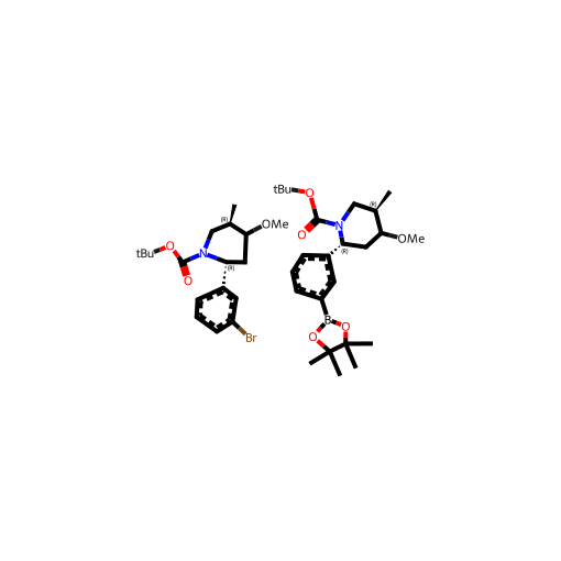 COC1C[C@H](c2cccc(B3OC(C)(C)C(C)(C)O3)c2)N(C(=O)OC(C)(C)C)C[C@H]1C.COC1C[C@H](c2cccc(Br)c2)N(C(=O)OC(C)(C)C)C[C@H]1C